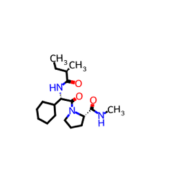 CC[C@@H](C)C(=O)N[C@H](C(=O)N1CCC[C@H]1C(=O)NC)C1CCCCC1